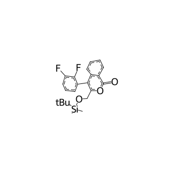 CC(C)(C)[Si](C)(C)OCc1oc(=O)c2ccccc2c1-c1cccc(F)c1F